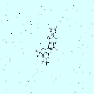 CCC1Cn2c(ccc(-n3cnc(C)c3)c2=O)C(=O)N1Cc1cc(C(F)(F)F)cc(C(F)(F)F)c1